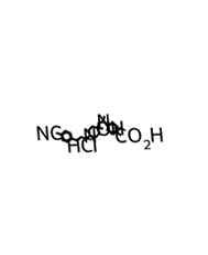 CN(CC1(O)CCN(CCCc2ccc(C#N)cc2)CC1)c1ccc(C(=O)O)cc1.Cl